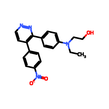 CCN(CCO)c1ccc(-c2nnccc2-c2ccc([N+](=O)[O-])cc2)cc1